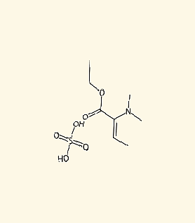 CC=C(C(=O)OCC)N(C)C.O=S(=O)(O)O